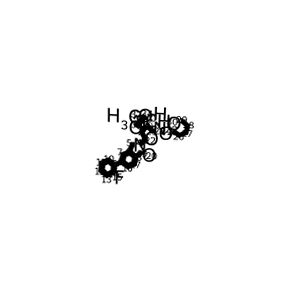 C[C@@](CCN1Cc2cc(-c3ccccc3F)ccc2C1=O)(C(=O)NOC1CCCCO1)S(C)(=O)=O